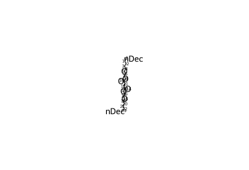 CCCCCCCCCCCCCCOCCOC(=O)/C=C/C(=O)OCCOCCCCCCCCCCCCCC